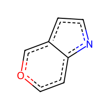 c1cc2coccc-2n1